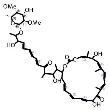 CO[C@@H]1[C@H](O)[C@@H](OC)[C@H](OC(C)C(O)/C=C/C=C/C=C/C(=O)C(C)C(O)C(C)C2C/C=C/C=C/C=C/C(O)C(=O)/C(C)=C/C=C/C(C)=C/C(O)/C(C)=C\CC(=O)O2)O[C@@H]1C